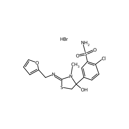 Br.CN1C(=NCc2ccco2)SCC1(O)c1ccc(Cl)c(S(N)(=O)=O)c1